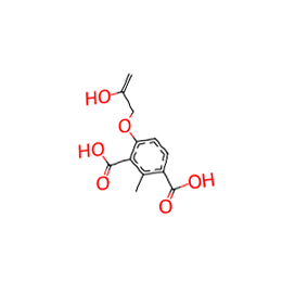 C=C(O)COc1ccc(C(=O)O)c(C)c1C(=O)O